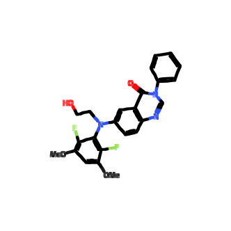 COc1cc(OC)c(F)c(N(CCO)c2ccc3ncn(-c4ccccc4)c(=O)c3c2)c1F